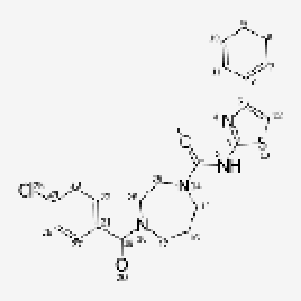 O=C(Nc1nc(C2=CCCC=C2)cs1)N1CCCN(C(=O)C2=CCC(Cl)C=C2)CC1